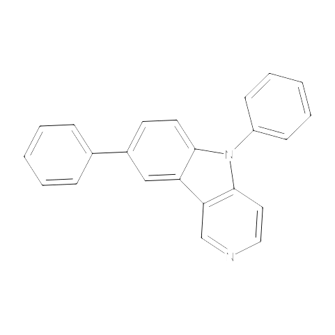 c1ccc(-c2ccc3c(c2)c2cnccc2n3-c2ccccc2)cc1